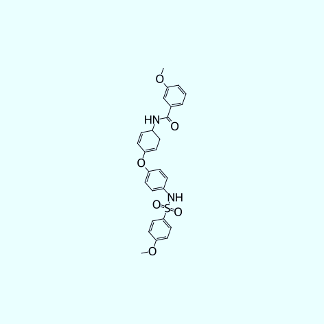 COc1ccc(S(=O)(=O)Nc2ccc(OC3=CCC(NC(=O)c4cccc(OC)c4)C=C3)cc2)cc1